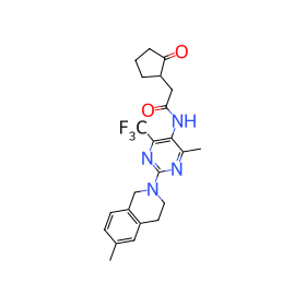 Cc1ccc2c(c1)CCN(c1nc(C)c(NC(=O)CC3CCCC3=O)c(C(F)(F)F)n1)C2